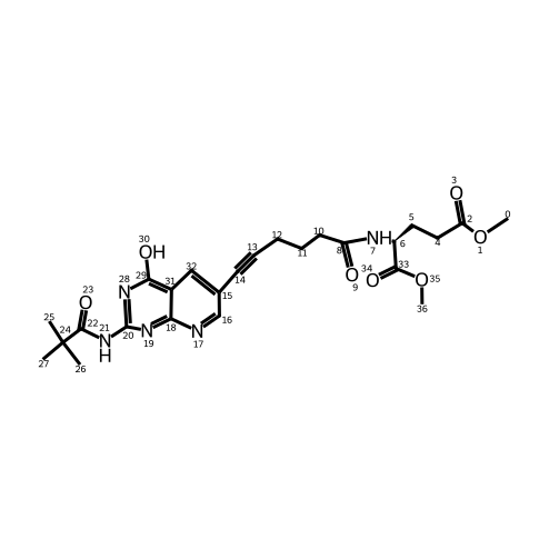 COC(=O)CC[C@H](NC(=O)CCCC#Cc1cnc2nc(NC(=O)C(C)(C)C)nc(O)c2c1)C(=O)OC